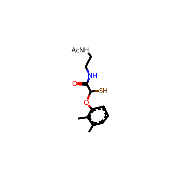 CC(=O)NCCNC(=O)C(S)Oc1cccc(C)c1C